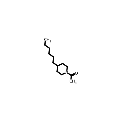 CCCCCCC1CCN(C(C)=O)CC1